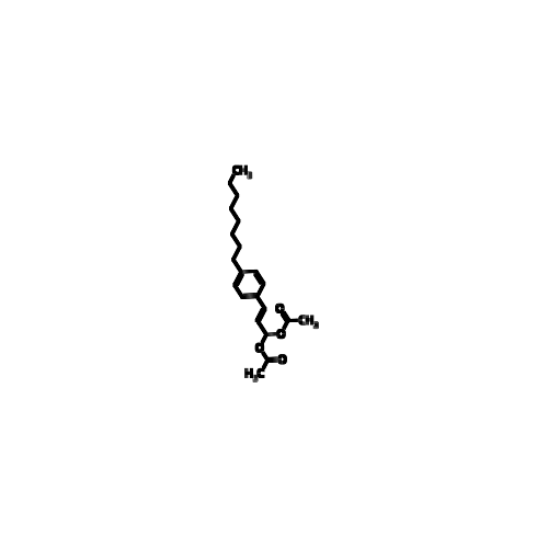 CCCCCCCCc1ccc(C=CC(OC(C)=O)OC(C)=O)cc1